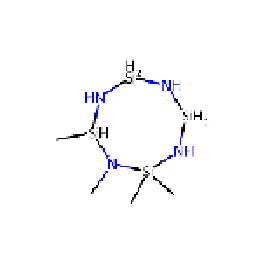 CN1[SiH](C)N[SiH2]N[SiH2]N[Si]1(C)C